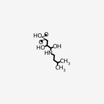 CC(C)CCNC(O)C(O)CS(=O)(=O)O